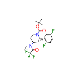 CCN(C(=O)C(F)(F)F)C1CCN(C(=O)OC(C)(C)C)[C@H](c2cc(F)ccc2F)C1